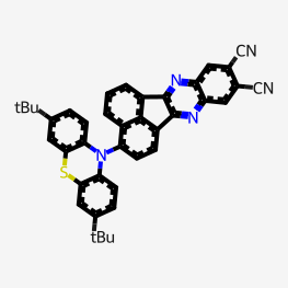 CC(C)(C)c1ccc2c(c1)Sc1cc(C(C)(C)C)ccc1N2c1ccc2c3c(cccc13)-c1nc3cc(C#N)c(C#N)cc3nc1-2